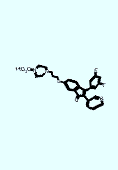 O=C1C(c2cccnc2)=C(c2cc(F)cc(F)c2)c2ccc(OCCCN3CCN(C(=O)O)CC3)cc21